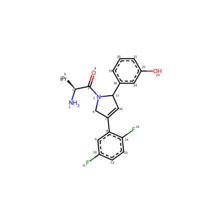 CC(C)[C@H](N)C(=O)N1CC(c2cc(F)ccc2F)=CC1c1cccc(O)c1